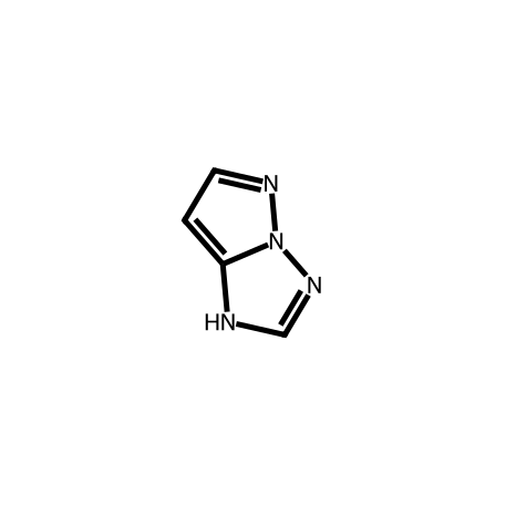 c1cc2[nH]cnn2n1